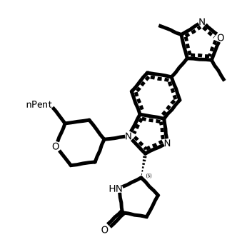 CCCCCC1CC(n2c([C@@H]3CCC(=O)N3)nc3cc(-c4c(C)noc4C)ccc32)CCO1